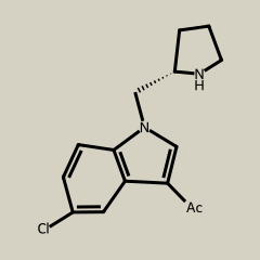 CC(=O)c1cn(C[C@@H]2CCCN2)c2ccc(Cl)cc12